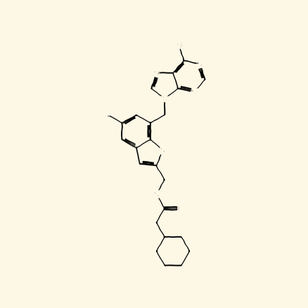 Nc1ncnc2c1ncn2Cc1cc(Cl)cc2cc(CNC(=O)CC3CCCCC3)[nH]c12